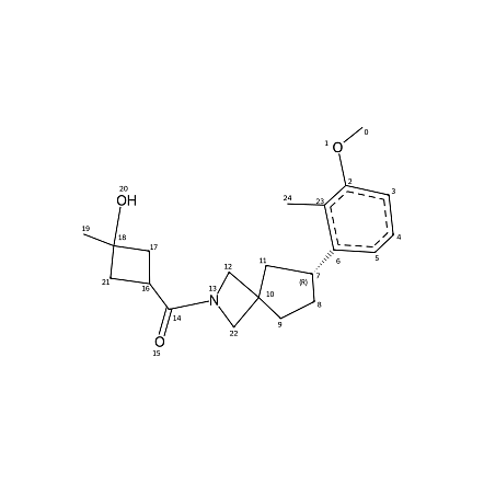 COc1cccc([C@@H]2CCC3(C2)CN(C(=O)C2CC(C)(O)C2)C3)c1C